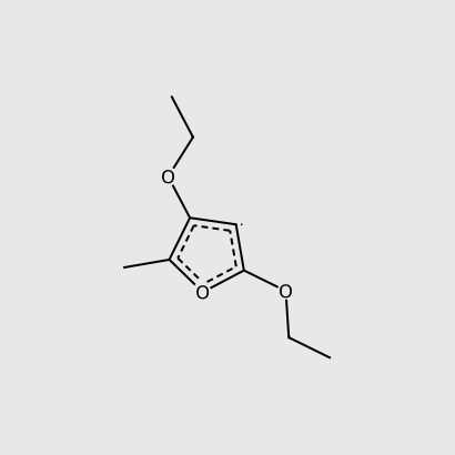 CCOc1[c]c(OCC)c(C)o1